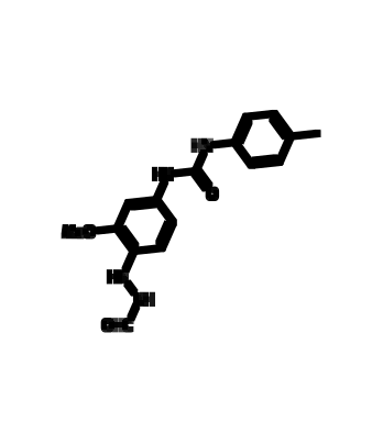 COc1cc(NC(=O)Nc2ccc(C)cc2)ccc1NNC=O